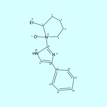 CCC1CCCC[N+]1([O-])c1nc(-c2ccccc2)c[nH]1